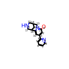 O=c1cc(-c2ccccn2)cc2n1CC1CNCC2C1